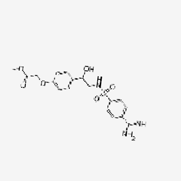 COC(=O)COc1ccc(C(O)CNS(=O)(=O)c2ccc(C(=N)N)cc2)cc1